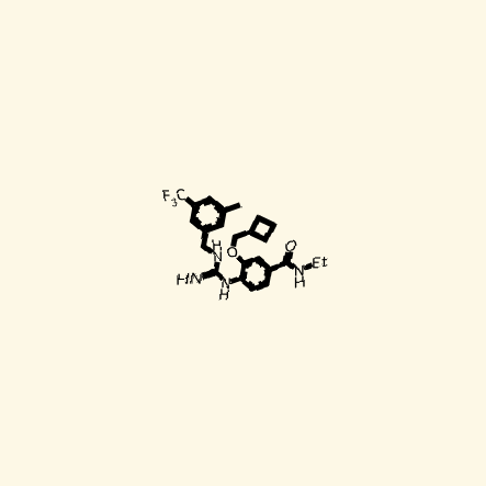 CCNC(=O)c1ccc(NC(=N)NCc2cc(C)cc(C(F)(F)F)c2)c(OCC2CCC2)c1